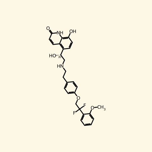 COc1ccccc1C(F)(F)COc1ccc(CCNC[C@H](O)c2ccc(O)c3[nH]c(=O)ccc23)cc1